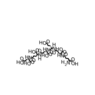 N[C@@H](CCC(=O)N[C@@H](CCC(=O)N[C@@H](CCC(=O)O)C(=O)N[C@@H](CCC(=O)N[C@@H](CCC(=O)N[C@@H](CCC(=O)O)C(=O)O)C(=O)O)C(=O)O)C(=O)O)C(=O)O